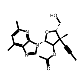 CC#C[C@@]1(C)[C@@H](CO)O[C@@H](n2cnc3c(C)cc(C)nc32)[C@@H]1OC(C)=O